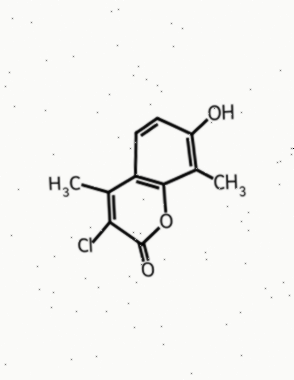 Cc1c(Cl)c(=O)oc2c(C)c(O)ccc12